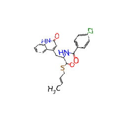 CC=CCSC(=O)C(Cc1cc(=O)[nH]c2ccccc12)NC(=O)c1ccc(Cl)cc1